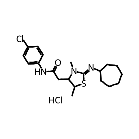 CC1S/C(=N\C2CCCCCC2)N(C)C1CC(=O)Nc1ccc(Cl)cc1.Cl